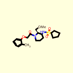 COC[C@H]1C(NS(=O)(=O)C2CCCC2)CCCN1C(=O)COc1ccccc1C